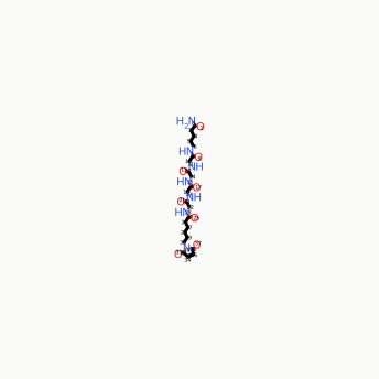 NC(=O)CCCCNC(=O)CNC(=O)CNC(=O)CNC(=O)CNC(=O)CCCCCN1C(=O)C=CC1=O